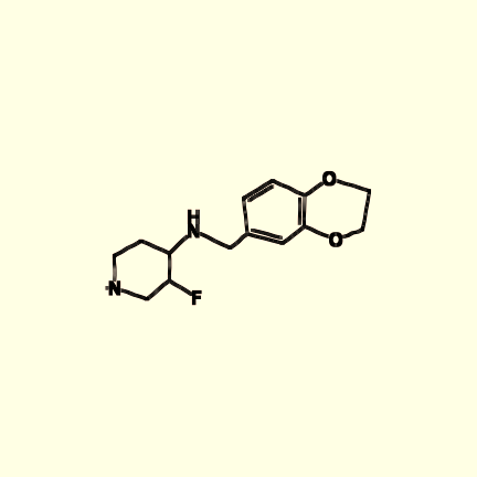 FC1C[N]CCC1NCc1ccc2c(c1)OCCO2